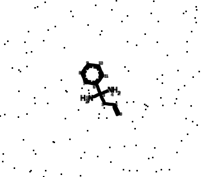 C=CCC(N)(N)c1ccccc1